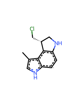 Cc1c[nH]c2[c]cc3c(c12)[C@H](CCl)CN3